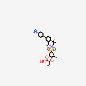 CCC(Oc1ccc(S(=O)(=O)N2CC(C)(C)c3ccc(-c4ccc(N(C)C)cc4)cc3C2C)cc1C)C(=O)O